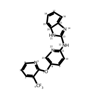 FC(F)(F)c1cccnc1Oc1ccc(Nc2nc3ccccc3[nH]2)nc1